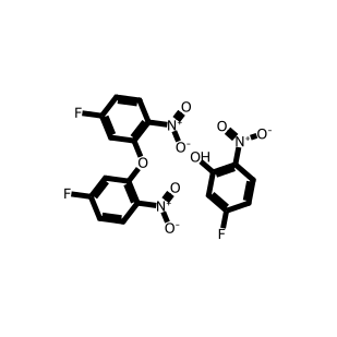 O=[N+]([O-])c1ccc(F)cc1O.O=[N+]([O-])c1ccc(F)cc1Oc1cc(F)ccc1[N+](=O)[O-]